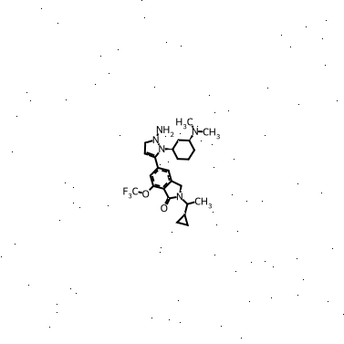 CC(C1CC1)N1Cc2cc(C3=CCN(N)N3[C@@H]3CCC[C@H](N(C)C)C3)cc(OC(F)(F)F)c2C1=O